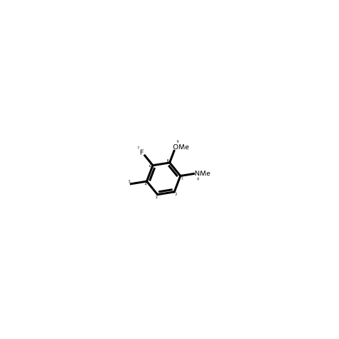 CNc1ccc(C)c(F)c1OC